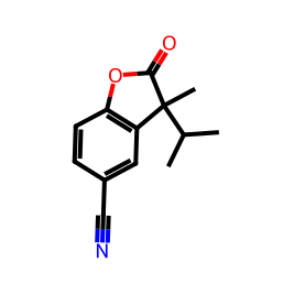 CC(C)C1(C)C(=O)Oc2ccc(C#N)cc21